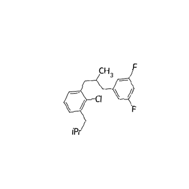 CC(C)Cc1cccc(CC(C)Cc2cc(F)cc(F)c2)c1Cl